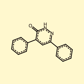 O=c1[nH]nc(-c2ccccc2)cc1-c1ccccc1